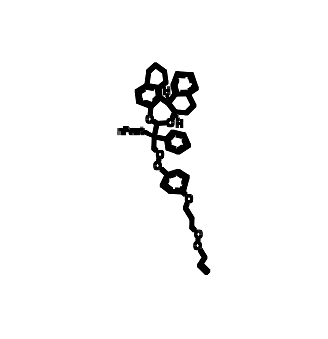 C=CCOOCCCOc1ccc(OOC[C@@](CCCCC)(c2ccccc2)C2Oc3ccc4c(c3[C@H]3c5ccccc5CC[C@H]3O2)CCCC4)cc1